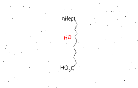 CCCCCCCCCCC(O)CCCCCC(=O)O